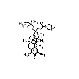 CCC(C)(C)CC[C@](C)(CCC(=O)N1CCC(F)(F)C1)CC[C@](C)(CC)[C@]1(C)CC[C@H]2[C@H](C)C(=O)C(C#N)=C[C@]2(C)/C1=C/C(C)=O